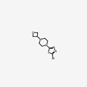 Brc1nnc(N2CCN(C3COC3)CC2)s1